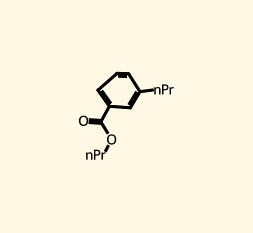 CCCOC(=O)c1cccc(CCC)c1